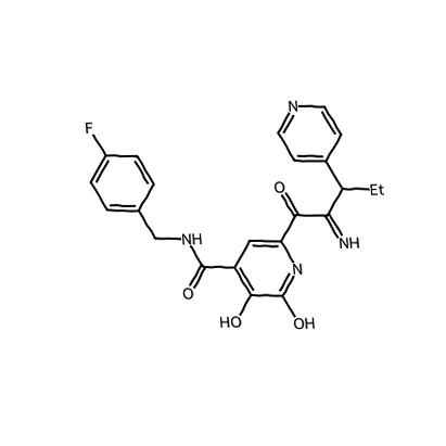 CCC(C(=N)C(=O)c1cc(C(=O)NCc2ccc(F)cc2)c(O)c(O)n1)c1ccncc1